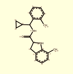 Cc1ccccc1C(NC(=O)C1Cc2cccc(C)c2N1)C1CC1